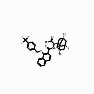 O=C(NC(C(=O)O)[C@@]12C[C@@H]3C[C@@H](C[C@@](O)(C3)C1)C2)c1ccc2ccccc2c1OCc1ccc(C(F)(F)F)cc1